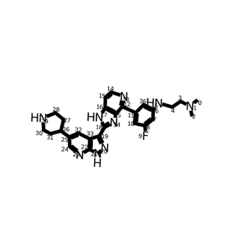 CN(C)CCNc1cc(F)cc(-c2nccc3[nH]c(-c4n[nH]c5ncc(C6CCNCC6)cc45)nc23)c1